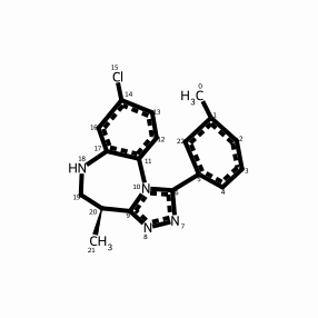 Cc1cccc(-c2nnc3n2-c2ccc(Cl)cc2NC[C@@H]3C)c1